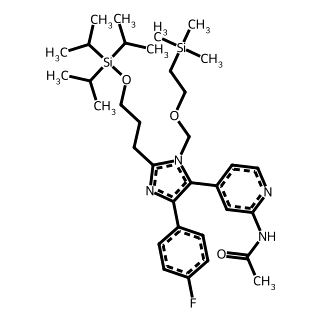 CC(=O)Nc1cc(-c2c(-c3ccc(F)cc3)nc(CCCO[Si](C(C)C)(C(C)C)C(C)C)n2COCC[Si](C)(C)C)ccn1